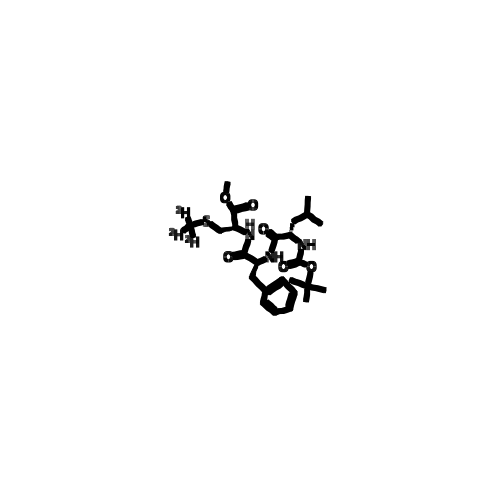 [2H]C([2H])([2H])SC[C@H](NC(=O)[C@H](Cc1ccccc1)NC(=O)[C@H](CC(C)C)NC(=O)OC(C)(C)C)C(=O)OC